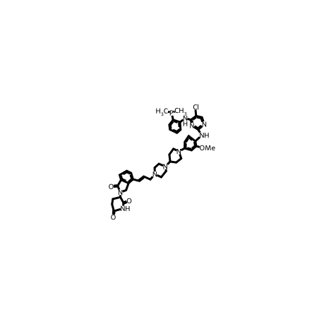 COc1cc(N2CCC(N3CCN(CC=Cc4cccc5c4CN(C4CCC(=O)NC4=O)C5=O)CC3)CC2)ccc1Nc1ncc(Cl)c(Nc2ccccc2P(C)C)n1